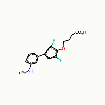 CCCNc1cccc(-c2cc(F)c(OCCCC(=O)O)c(F)c2)c1